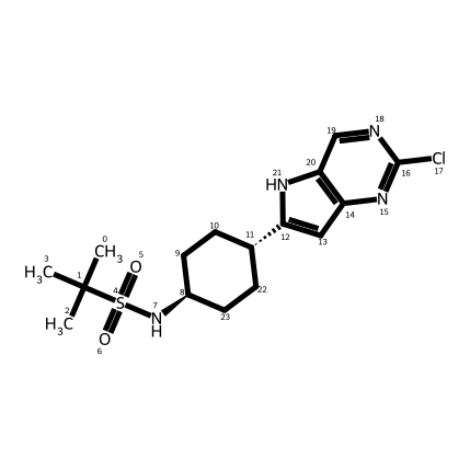 CC(C)(C)S(=O)(=O)N[C@H]1CC[C@H](c2cc3nc(Cl)ncc3[nH]2)CC1